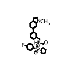 Cn1ccc2ccc(-c3cccc(CNC(=O)[C@@H]4CCCN4S(=O)(=O)c4ccc(F)cc4)c3)cc21